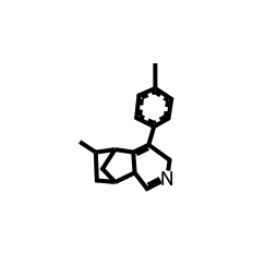 Cc1ccc(C2=C3C(C=NC2)C2CC(C)C3C2)cc1